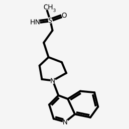 CS(=N)(=O)CCC1CCN(c2ccnc3ccccc23)CC1